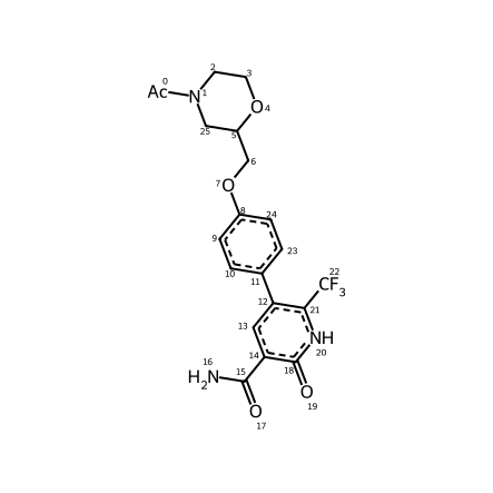 CC(=O)N1CCOC(COc2ccc(-c3cc(C(N)=O)c(=O)[nH]c3C(F)(F)F)cc2)C1